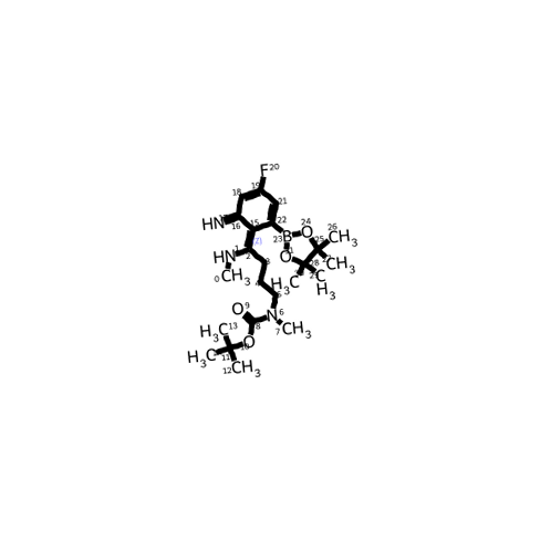 CN/C(CCCN(C)C(=O)OC(C)(C)C)=C1\C(=N)C=C(F)C=C1B1OC(C)(C)C(C)(C)O1